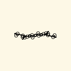 C=CC(=O)OCCCCOCC(COc1ccc(OC(=O)C2CCC(C(=O)Oc3ccc(OCC(COCCCCOC(=O)C=C)OC(=O)CC)cc3)CC2)cc1)OC(=O)C=C